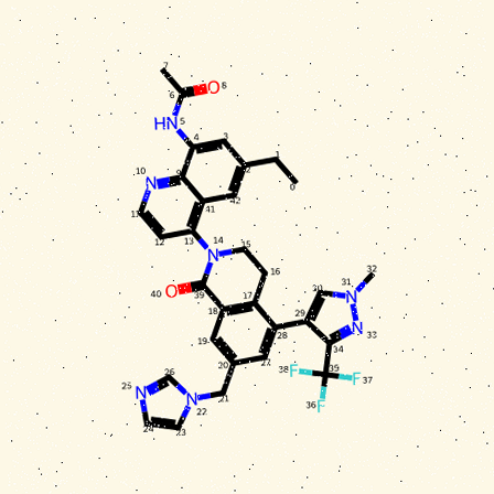 CCc1cc(NC(C)=O)c2nccc(N3CCc4c(cc(Cn5ccnc5)cc4-c4cn(C)nc4C(F)(F)F)C3=O)c2c1